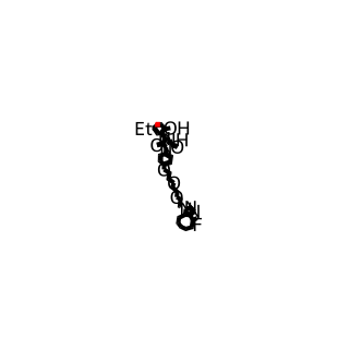 CCc1ccc(O)c(-n2[nH]c(=O)n(-c3ccc(OCCOCCOCCn4nnc5c4CCCCCC5(C)F)cc3)c2=O)c1